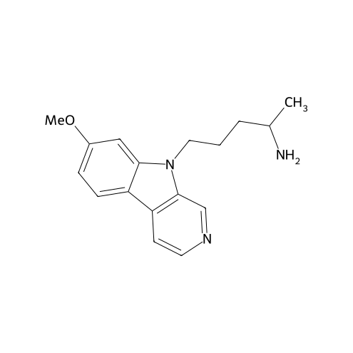 COc1ccc2c3ccncc3n(CCCC(C)N)c2c1